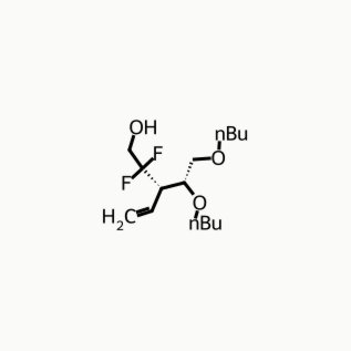 C=C[C@@H]([C@H](COCCCC)OCCCC)C(F)(F)CO